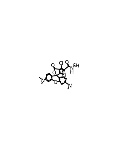 CN(C)c1ccc2c(c1)Oc1cc(N(C)C)ccc1C21OC(=O)c2c(Cl)c(C(=O)NS)cc(Cl)c21